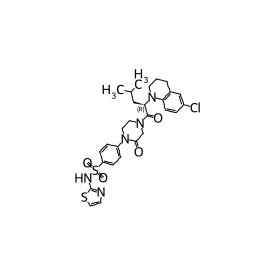 CC(C)C[C@H](C(=O)N1CCN(c2ccc(S(=O)(=O)Nc3nccs3)cc2)C(=O)C1)N1CCCc2cc(Cl)ccc21